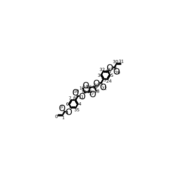 C=CC(=O)Oc1ccc(C(=O)O[C@@H]2COC3C2OC[C@H]3OC(=O)c2ccc(OC(=O)C=C)cc2)cc1